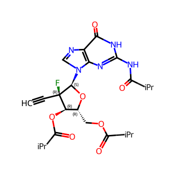 C#C[C@@]1(F)[C@H](OC(=O)C(C)C)[C@@H](COC(=O)C(C)C)O[C@@H]1n1cnc2c(=O)[nH]c(NC(=O)C(C)C)nc21